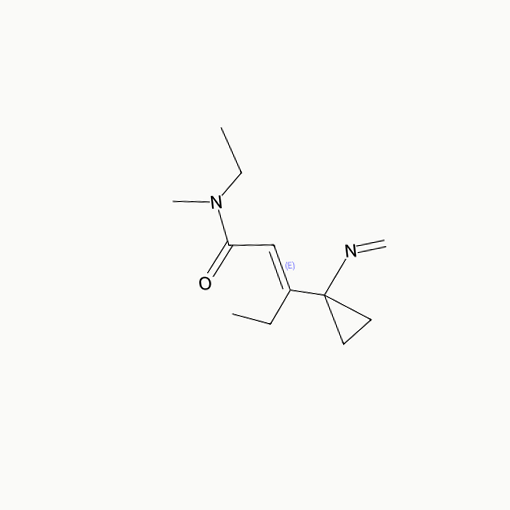 C=NC1(/C(=C/C(=O)N(C)CC)CC)CC1